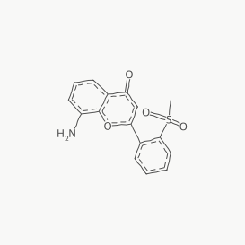 CS(=O)(=O)c1ccccc1-c1cc(=O)c2cccc(N)c2o1